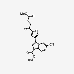 COC(=O)CCC(=O)c1cc(-c2cn(C(=O)OC(C)(C)C)c3ccc(C#N)cc23)co1